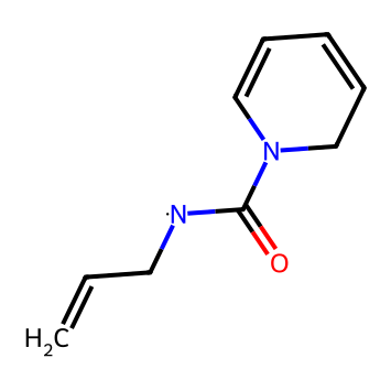 C=CC[N]C(=O)N1C=CC=CC1